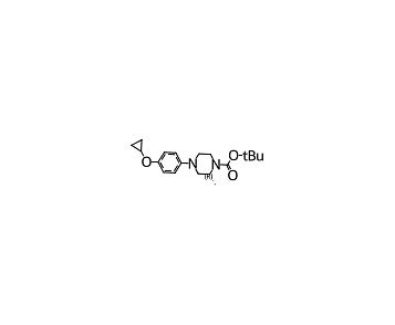 C[C@@H]1CN(c2ccc(OC3CC3)cc2)CCN1C(=O)OC(C)(C)C